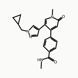 CNC(=O)c1ccc(-c2cc(=O)n(C)cc2-c2cnn(CC3CC3)c2)cc1